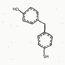 Oc1ccc(Cc2ccc(S)cc2)cc1